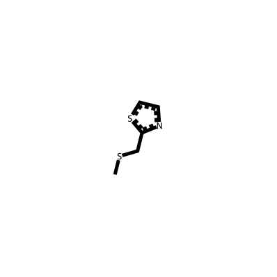 CSCc1nccs1